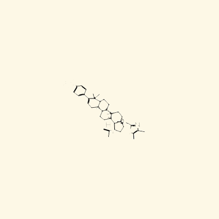 C=C(C)[C@@H]1CC[C@]2(Nc3nc(C)c(C)s3)CC[C@]3(C)[C@H](CCC4[C@@]5(C)CC=C(c6ccc(C(=O)O)cc6)C(C)(C)C5CC[C@]43C)C12